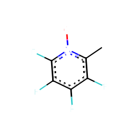 Cc1c(F)c(F)c(F)c(F)[n+]1[O-]